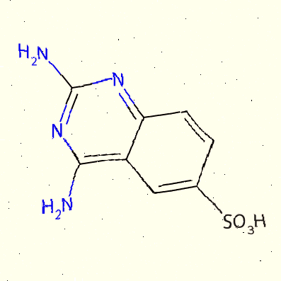 Nc1nc(N)c2cc(S(=O)(=O)O)ccc2n1